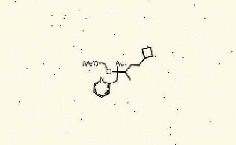 COCOC(Cc1ccccn1)(C(C)=O)C(C)CCC1CCC1